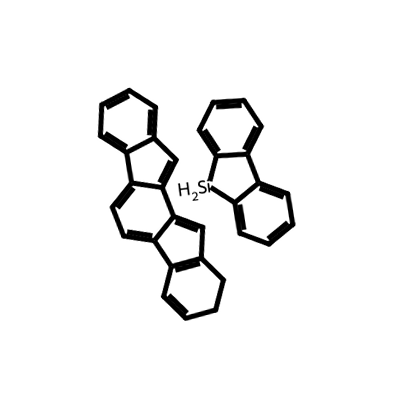 C1=CC2=C(C=c3c2ccc2c3=Cc3ccccc3-2)CC1.c1ccc2c(c1)[SiH2]c1ccccc1-2